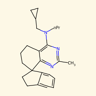 CCCN(CC1CC1)c1nc(C)nc2c1CCCC21CCc2ccccc21